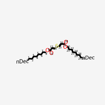 CCCCCCCCCCCCCCCCCCOC(=O)C=CSC=CC(=O)OCCCCCCCCCCCCCCCCCC